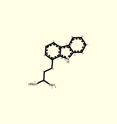 CCCCCCCCCC(N)CCc1cccc2c1[nH]c1ccccc12